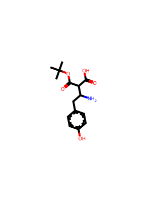 CC(C)(C)OC(=O)C(C(=O)O)C(N)Cc1ccc(O)cc1